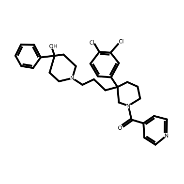 O=C(c1ccncc1)N1CCCC(CCCN2CCC(O)(c3ccccc3)CC2)(c2ccc(Cl)c(Cl)c2)C1